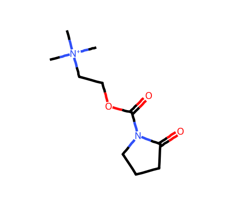 C[N+](C)(C)CCOC(=O)N1CCCC1=O